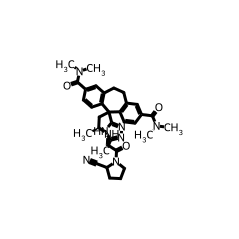 Cc1nnc(C2(C[C@H](C)NCC(=O)N3CCCC3C#N)c3ccc(C(=O)N(C)C)cc3CCc3cc(C(=O)N(C)C)ccc32)[nH]1